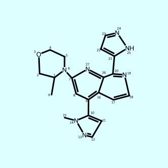 CC1COCCN1c1cc(-c2ccnn2C)c2ccnc(-c3ccn[nH]3)c2n1